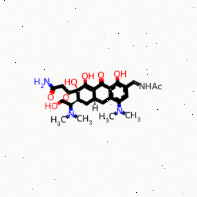 CC(=O)NCc1cc(N(C)C)c2c(c1O)C(=O)C1=C(O)[C@](O)(C(=O)CC(N)=O)[C@H](C(CO)N(C)C)C[C@@H]1C2